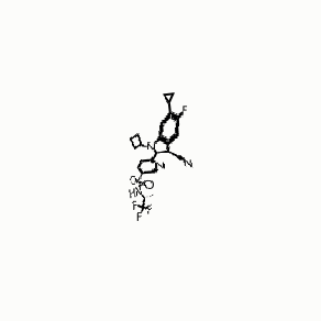 C[C@@H](NS(=O)(=O)c1ccc(C2C(C#N)c3cc(F)c(C4CC4)cc3N2C2CCC2)nc1)C(F)(F)F